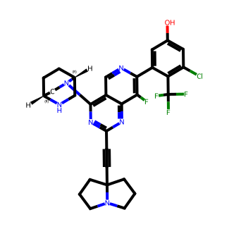 Oc1cc(Cl)c(C(F)(F)F)c(-c2ncc3c(N4C[C@H]5CC[C@@H]4CN5)nc(C#CC45CCCN4CCC5)nc3c2F)c1